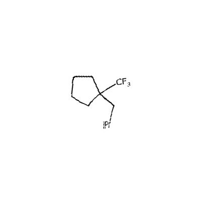 CC(C)CC1(C(F)(F)F)CCCC1